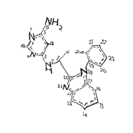 CC(Nc1cc(N)ncn1)c1nc2ccccc2n1-c1ccccc1